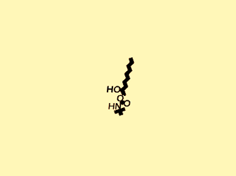 CCCCCCCCC(O)COC(=O)NC(C)(C)C